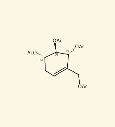 CC(=O)OCC1=CC[C@H](OC(C)=O)[C@@H](OC(C)=O)[C@@H]1OC(C)=O